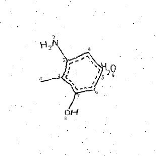 Cc1c(N)cccc1O.O